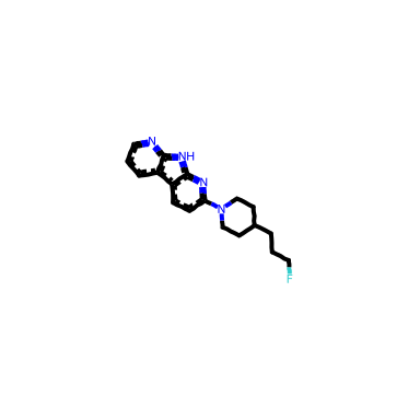 FCCCC1CCN(c2ccc3c(n2)[nH]c2ncccc23)CC1